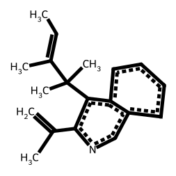 C=C(C)c1ncc2ccccc2c1C(C)(C)/C(C)=C/C